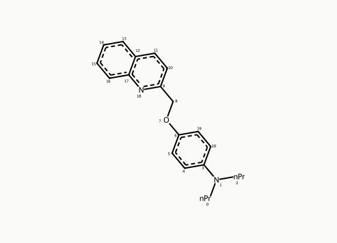 CCCN(CCC)c1ccc(OCc2ccc3ccccc3n2)cc1